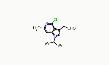 CCCC(CCC)n1cc(CC=O)c2c(Cl)nc(C)cc21